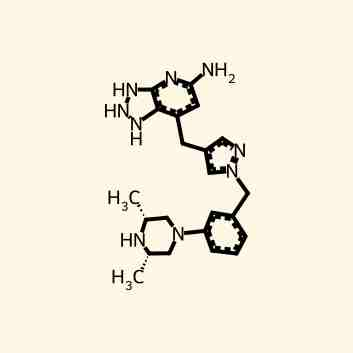 C[C@@H]1CN(c2cccc(Cn3cc(Cc4cc(N)nc5c4NNN5)cn3)c2)C[C@H](C)N1